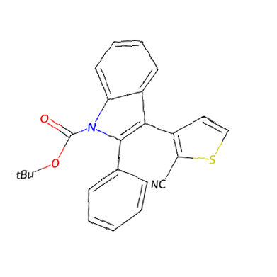 CC(C)(C)OC(=O)n1c(-c2ccccc2)c(-c2ccsc2C#N)c2ccccc21